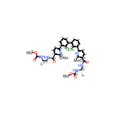 COc1nc(-c2cccc(-c3cccc(-c4ccc(C(=O)NC[C@H](C)NC(=O)OC(C)(C)C)c(OC)n4)c3Cl)c2Cl)ccc1C(=O)NC[C@H](C)NC(=O)OC(C)(C)C